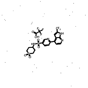 O=C(O)C(F)(F)F.O=S1(=O)CCC(NS(=O)(=O)c2ccc(-c3ccnc4[nH]c(C(F)(F)F)cc34)nc2)CC1